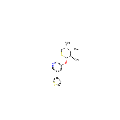 CC(=O)O[C@@H]1[C@@H](OC(C)=O)[C@@H](Oc2cncc(-c3ccsc3)c2)SC[C@H]1OC(C)=O